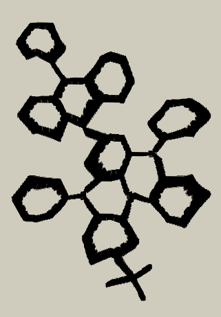 CC(C)(C)c1ccc2c(c1)B1c3ccccc3N(c3ccccc3)c3cc(-c4c5ccccc5c(-c5ccccc5)c5ccccc45)cc(c31)N2c1ccccc1